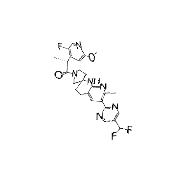 COc1cc([C@@H](C)C(=O)N2CC[C@@]3(CCc4cc(-c5ncc(C(F)F)cn5)c(C)nc4N3)C2)c(F)cn1